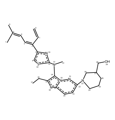 C=C/C(=C\C=C(C)C)c1csc(N(C)c2c(CC)nc3ccc(N4CCCC(CO)C4)nn23)n1